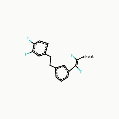 CCCCC/C(F)=C(\F)c1cccc(CCc2ccc(F)c(F)c2)c1